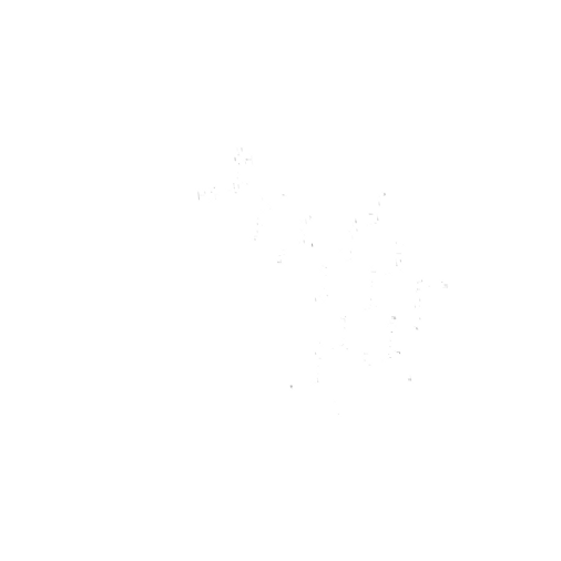 CC(=O)OCC1OC(c2ccc(B(O)O)cc2)C(OC(C)=O)C(OC(C)=O)C1OC(C)=O